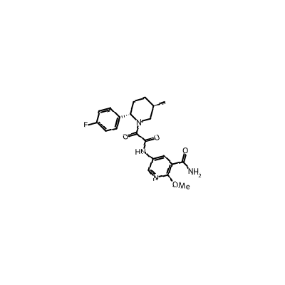 COc1ncc(NC(=O)C(=O)N2C[C@H](C)CC[C@H]2c2ccc(F)cc2)cc1C(N)=O